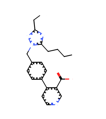 CCCCc1nc(CC)nn1Cc1ccc(-c2ccncc2C(=O)O)cc1